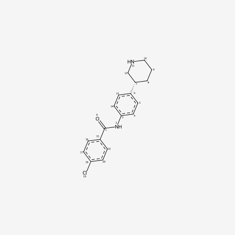 O=C(Nc1ccc([C@H]2CCCNC2)cc1)c1ccc(Cl)cc1